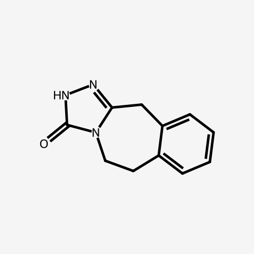 O=c1[nH]nc2n1CCc1ccccc1C2